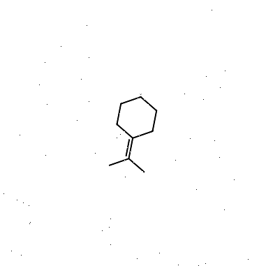 CC(C)=C1CC[CH]CC1